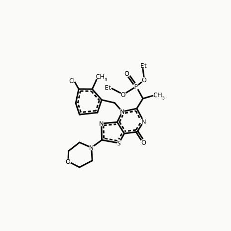 CCOP(=O)(OCC)C(C)c1nc(=O)c2sc(N3CCOCC3)nc2n1Cc1cccc(Cl)c1C